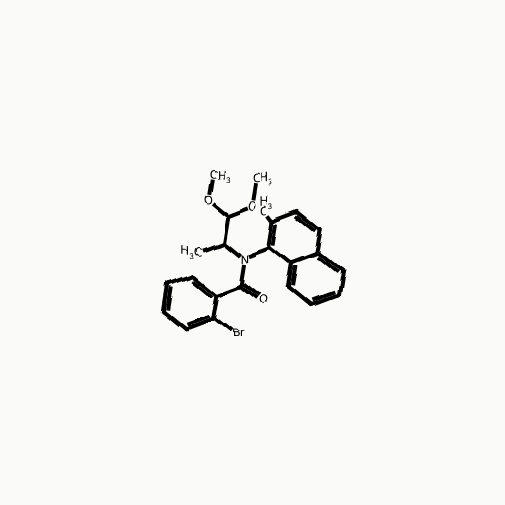 COC(OC)C(C)N(C(=O)c1ccccc1Br)c1c(C)ccc2ccccc12